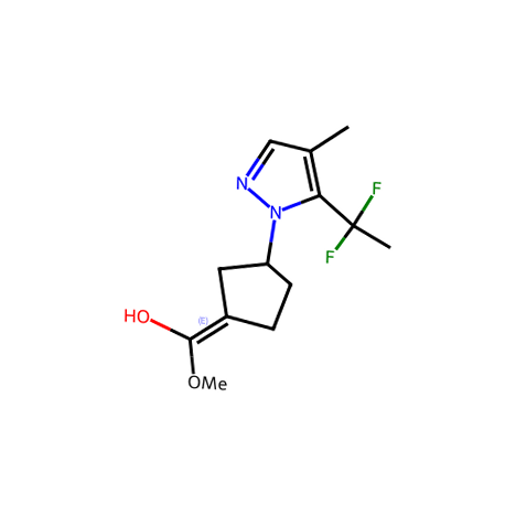 CO/C(O)=C1\CCC(n2ncc(C)c2C(C)(F)F)C1